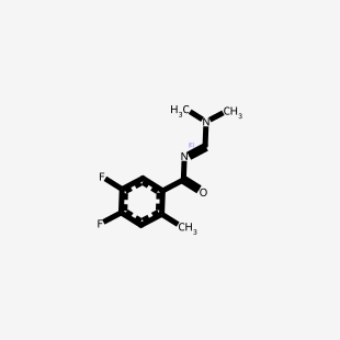 Cc1cc(F)c(F)cc1C(=O)/N=C/N(C)C